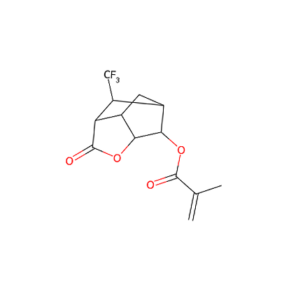 C=C(C)C(=O)OC1C2CC3C1OC(=O)C3C2C(F)(F)F